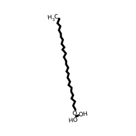 CCCCCCCCCCCCCCCCCCCCCCCCCCCCOC(O)O